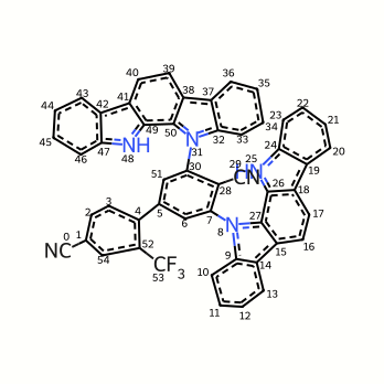 N#Cc1ccc(-c2cc(-n3c4ccccc4c4ccc5c6ccccc6[nH]c5c43)c(C#N)c(-n3c4ccccc4c4ccc5c6ccccc6[nH]c5c43)c2)c(C(F)(F)F)c1